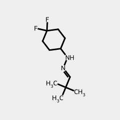 CC(C)(C)/C=N/NC1CCC(F)(F)CC1